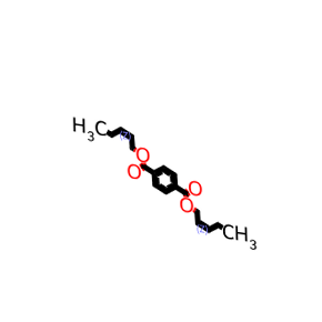 CC/C=C\COC(=O)c1ccc(C(=O)OC/C=C\CC)cc1